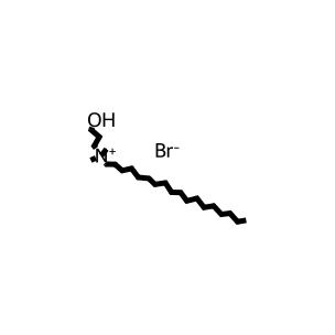 CCCCCCCCCCCCCCCCCC[N+](C)(C)CCCO.[Br-]